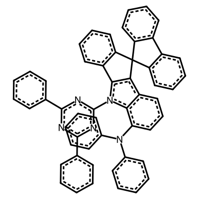 c1ccc(-c2nc(-c3ccccc3)nc(-n3c4c(c5cccc(N(c6ccccc6)c6ccccc6)c53)C3(c5ccccc5-c5ccccc53)c3ccccc3-4)n2)cc1